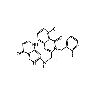 C[C@H](Nc1ncc2c(=O)cc[nH]c2n1)c1nc2cccc(Cl)c2c(=O)n1Cc1ccccc1Cl